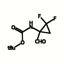 CC(C)(C)OC(=O)NC1(C=O)CC1(F)F